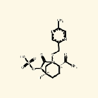 Cc1cnc(CO[N+]23C[C@@H](CC[C@H]2C(N)=O)N(OS(=O)(=O)O)C3=O)cn1